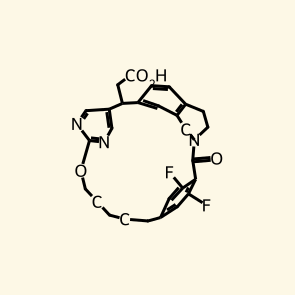 O=C(O)CC1c2cnc(nc2)OCCCCCc2cc(F)c(c(F)c2)C(=O)N2CCc3ccc1cc3C2